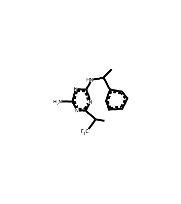 CC(Nc1nc(N)nc(C(C)C(F)(F)F)n1)c1ccccc1